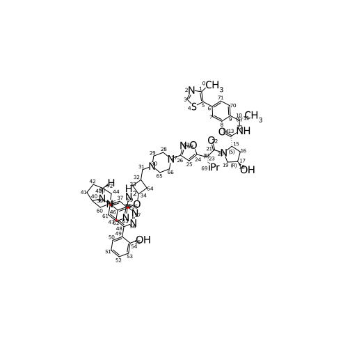 Cc1ncsc1-c1ccc([C@H](C)NC(=O)[C@@H]2C[C@@H](O)CN2C(=O)[C@@H](c2cc(N3CCN(CC4CC(Oc5cc(N6C7CC[C@@H]6CN(c6cc(-c8ccccc8O)nnc6N)C7)ccn5)C4)CC3)no2)C(C)C)cc1